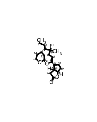 CCCCC(C)(F)CC=C(OC1CCCCO1)[C@H]1CC[C@H]2OC(=O)C[C@H]12